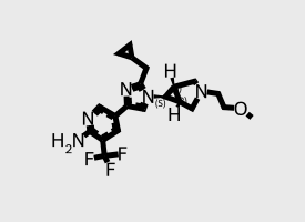 COCCN1C[C@@H]2[C@H](C1)[C@H]2n1cc(-c2cnc(N)c(C(F)(F)F)c2)nc1CC1CC1